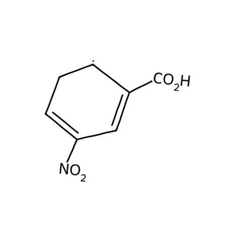 O=C(O)C1=CC([N+](=O)[O-])=CC[CH]1